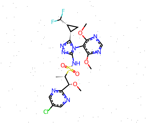 COc1ncnc(OC)c1-n1c(NS(=O)(=O)[C@@H](C)[C@H](OC)c2ncc(Cl)cn2)nnc1[C@H]1C[C@H]1C(F)F